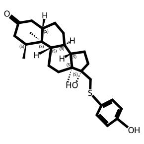 C[C@H]1CC(=O)C[C@@H]2CC[C@@H]3[C@H](CC[C@@]4(C)[C@H]3CC[C@@]4(O)CSc3ccc(O)cc3)[C@]21C